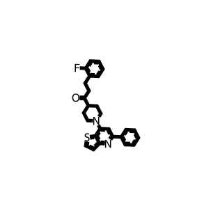 O=C(CCc1ccccc1F)C1CCN(c2cc(-c3ccccc3)nc3ccsc23)CC1